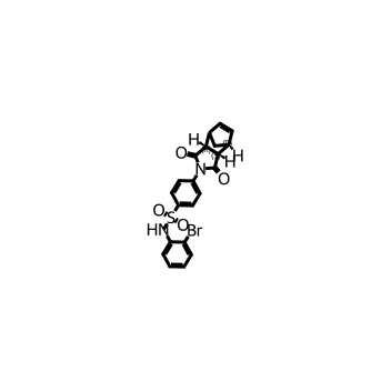 O=C1[C@@H]2[C@H](C(=O)N1c1ccc(S(=O)(=O)Nc3ccccc3Br)cc1)C1C=C[C@H]2C1